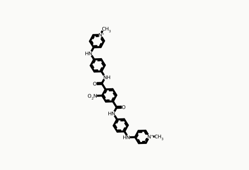 C[n+]1ccc(Nc2ccc(NC(=O)c3ccc(C(=O)Nc4ccc(Nc5cc[n+](C)cc5)cc4)c([N+](=O)[O-])c3)cc2)cc1